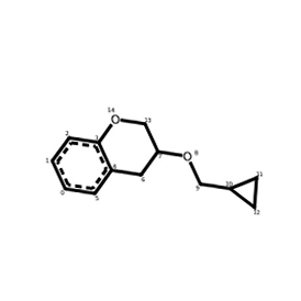 c1ccc2c(c1)CC(OCC1CC1)CO2